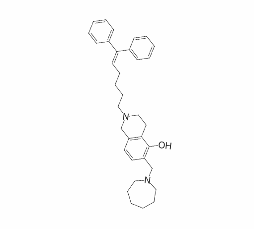 Oc1c(CN2CCCCCC2)ccc2c1CCN(CCCCC=C(c1ccccc1)c1ccccc1)C2